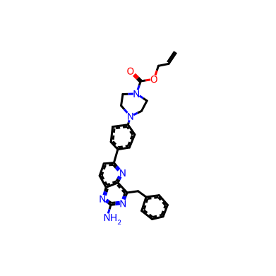 C=CCOC(=O)N1CCN(c2ccc(-c3ccc4nc(N)nc(Cc5ccccc5)c4n3)cc2)CC1